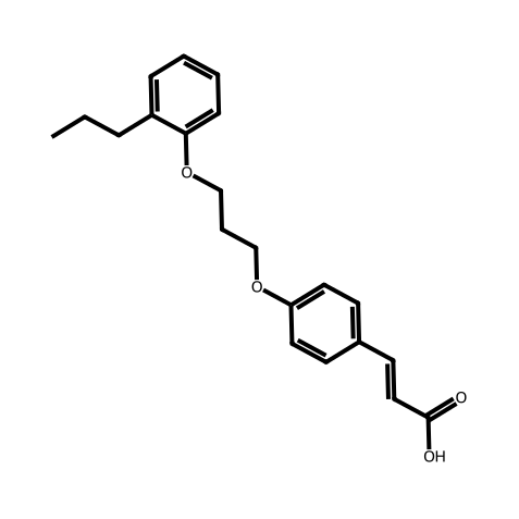 CCCc1ccccc1OCCCOc1ccc(C=CC(=O)O)cc1